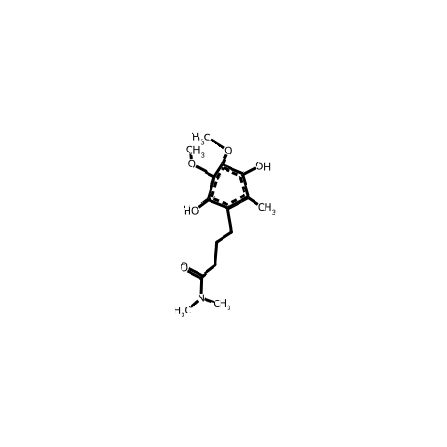 COc1c(O)c(C)c(CCCC(=O)N(C)C)c(O)c1OC